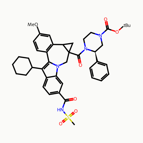 COc1ccc2c(c1)C1CC1(C(=O)N1CCN(C(=O)OC(C)(C)C)C[C@H]1c1ccccc1)Cn1c-2c(C2CCCCC2)c2ccc(C(=O)NS(C)(=O)=O)cc21